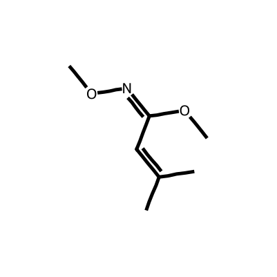 CO/N=C(\C=C(C)C)OC